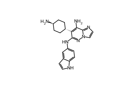 Nc1c2nccn2nc(Nc2ccc3[nH]ccc3c2)c1[C@H]1CC[C@H](N)CC1